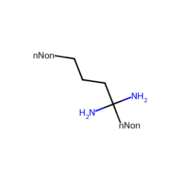 CCCCCCCCCCCCC(N)(N)CCCCCCCCC